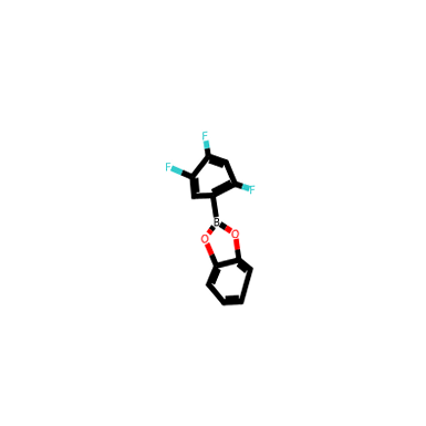 Fc1cc(F)c(B2Oc3ccccc3O2)cc1F